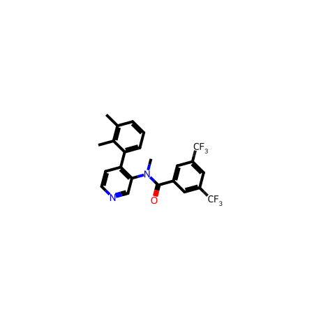 Cc1cccc(-c2ccncc2N(C)C(=O)c2cc(C(F)(F)F)cc(C(F)(F)F)c2)c1C